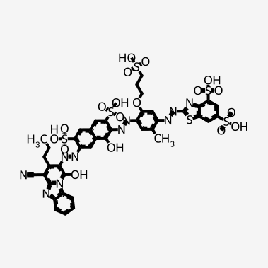 CCCc1c(N=Nc2cc3c(O)c(N=Nc4cc(C)c(N=Nc5nc6c(S(=O)(=O)O)cc(S(=O)(=O)O)cc6s5)cc4OCCCS(=O)(=O)O)c(S(=O)(=O)O)cc3cc2S(=O)(=O)O)c(O)n2c(nc3ccccc32)c1C#N